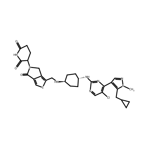 Cn1ncc(-c2nc(N[C@H]3CC[C@H](NCc4scc5c4CN(C4CCC(=O)NC4=O)C5=O)CC3)ncc2Cl)c1CC1CC1